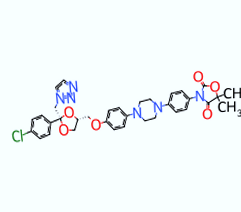 CC1(C)OC(=O)N(c2ccc(N3CCN(c4ccc(OC[C@@H]5CO[C@@](Cn6ccnn6)(c6ccc(Cl)cc6)O5)cc4)CC3)cc2)C1=O